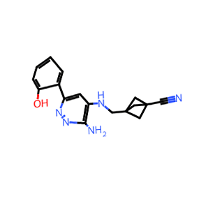 N#CC12CC(CNc3cc(-c4ccccc4O)nnc3N)(C1)C2